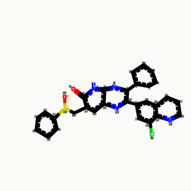 O=c1[nH]c2nc(-c3ccccc3)c(-c3cc(Cl)c4ncccc4c3)nc2cc1C[S+]([O-])c1ccccc1